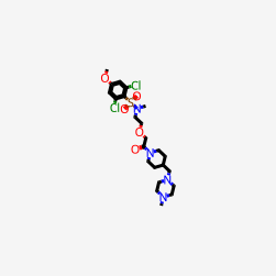 COc1cc(Cl)c(S(=O)(=O)N(C)CCOCC(=O)N2CCC(CN3CCN(C)CC3)CC2)c(Cl)c1